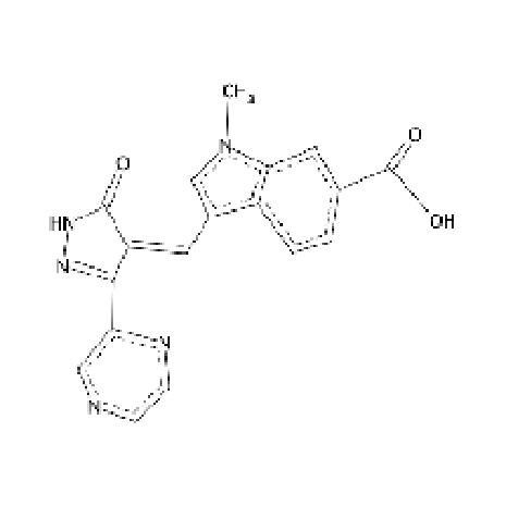 Cn1cc(/C=C2\C(=O)NN=C2c2cnccn2)c2ccc(C(=O)O)cc21